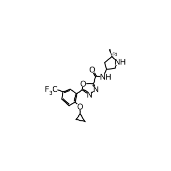 C[C@@H]1CC(NC(=O)c2nnc(-c3cc(C(F)(F)F)ccc3OC3CC3)o2)CN1